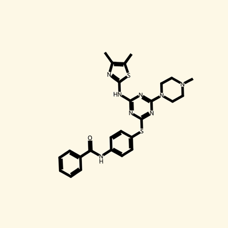 Cc1nc(Nc2nc(Sc3ccc(NC(=O)c4ccccc4)cc3)nc(N3CCN(C)CC3)n2)sc1C